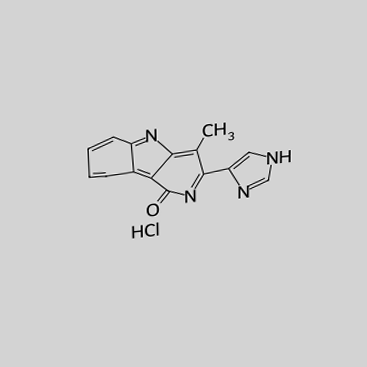 CC1=C2N=c3ccccc3=C2C(=O)N=C1c1c[nH]cn1.Cl